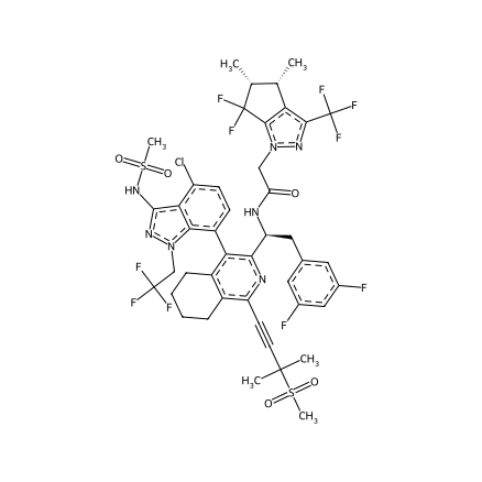 C[C@@H]1c2c(C(F)(F)F)nn(CC(=O)N[C@@H](Cc3cc(F)cc(F)c3)c3nc(C#CC(C)(C)S(C)(=O)=O)c4c(c3-c3ccc(Cl)c5c(NS(C)(=O)=O)nn(CC(F)(F)F)c35)CCCC4)c2C(F)(F)[C@@H]1C